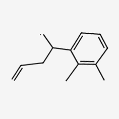 [CH2]C(CC=C)c1cccc(C)c1C